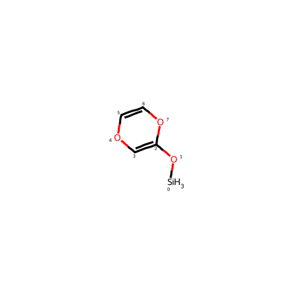 [SiH3]OC1=COC=CO1